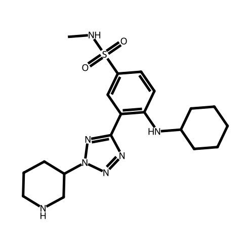 CNS(=O)(=O)c1ccc(NC2CCCCC2)c(-c2nnn(C3CCCNC3)n2)c1